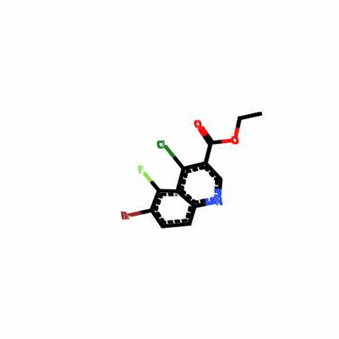 CCOC(=O)c1cnc2ccc(Br)c(F)c2c1Cl